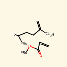 C=C(CCC(CC)CCCC)C(=O)O.C=CC(=O)OCCCC